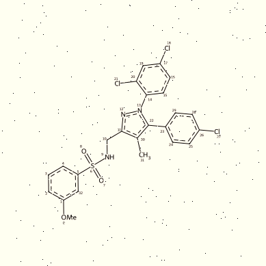 COc1cccc(S(=O)(=O)NCc2nn(-c3ccc(Cl)cc3Cl)c(-c3ccc(Cl)cc3)c2C)c1